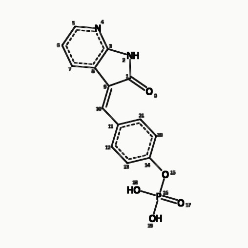 O=C1Nc2ncccc2C1=Cc1ccc(OP(=O)(O)O)cc1